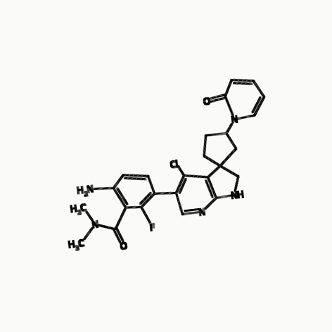 CN(C)C(=O)c1c(N)ccc(-c2cnc3c(c2Cl)C2(CCC(n4ccccc4=O)C2)CN3)c1F